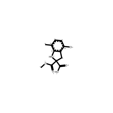 COC(=O)C1(C(=O)O)Cc2c(Cl)ccc(C)c2N1